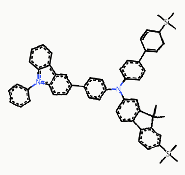 CC1(C)c2cc(N(c3ccc(C4=CCC([Si](C)(C)C)C=C4)cc3)c3ccc(-c4ccc5c(c4)c4ccccc4n5-c4ccccc4)cc3)ccc2-c2ccc([Si](C)(C)C)cc21